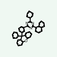 c1ccc(-c2nc(-c3cccc(C4(c5ccccc5)c5ccccc5Oc5ccccc54)c3)nc(-c3cccc4ccccc34)n2)cc1